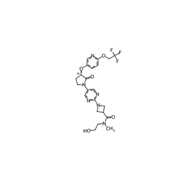 CN(CCO)C(=O)C1CN(c2ncc(N3CC[C@@H](Oc4ccc(OCC(F)(F)F)nc4)C3=O)cn2)C1